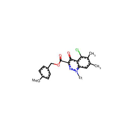 CCn1nc(C(=O)OCc2ccc(OC)cc2)c(=O)c2c(Cl)c(C)c(C)cc21